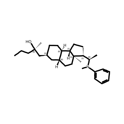 CCC[C@@](C)(O)C[C@H]1CC[C@@H]2[C@H](CC[C@]3(C)[C@@H]([C@@H](C)N(C)c4ccccc4)CC[C@@H]23)C1